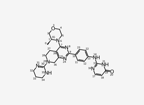 C[C@H]1COCCN1c1nc(-c2ccc(Nc3nccc(=O)[nH]3)cc2)nc2c1CCN(C1=NCCCN1)C2